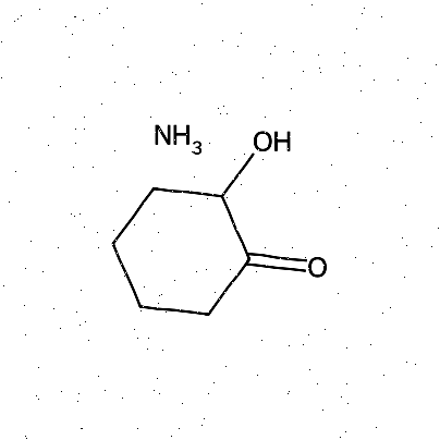 N.O=C1CCCCC1O